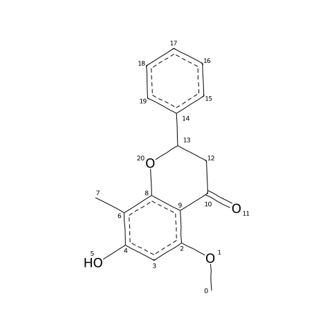 COc1cc(O)c(C)c2c1C(=O)CC(c1ccccc1)O2